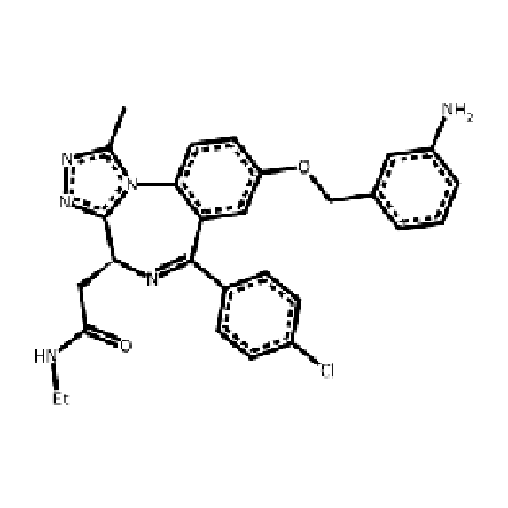 CCNC(=O)C[C@@H]1N=C(c2ccc(Cl)cc2)c2cc(OCc3cccc(N)c3)ccc2-n2c(C)nnc21